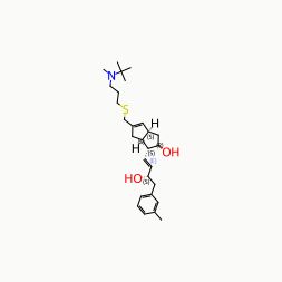 Cc1cccc(C[C@H](O)/C=C/[C@@H]2[C@H]3CC(CSCCCN(C)C(C)(C)C)=C[C@H]3C[C@H]2O)c1